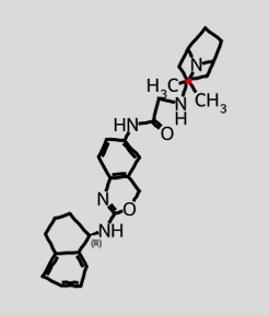 CC(C)N1C2CCC1CC(NCC(=O)Nc1ccc3c(c1)COC(N[C@@H]1CCCc4ccccc41)=N3)C2